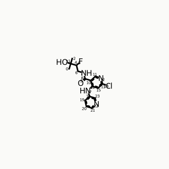 CC(C)(O)C(F)CNC(=O)c1cnc(Cl)cc1Nc1cccnc1